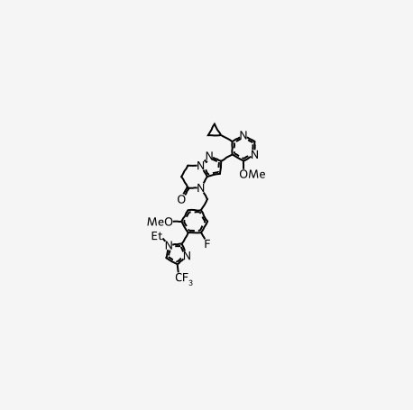 CCn1cc(C(F)(F)F)nc1-c1c(F)cc(CN2C(=O)CCn3nc(-c4c(OC)ncnc4C4CC4)cc32)cc1OC